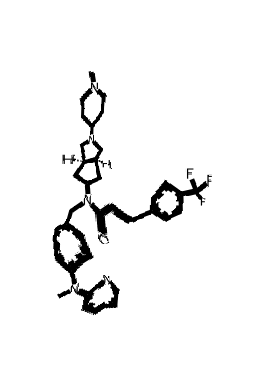 CN1CCC(N2C[C@H]3CC(N(Cc4ccc(N(C)c5ccccn5)cc4)C(=O)/C=C/c4ccc(C(F)(F)F)cc4)C[C@H]3C2)CC1